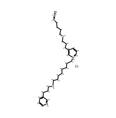 [Cl-].[N-]=[N+]=NCCCCOCCCc1ccc[n+](CCCCCCCCOCCCc2cccnc2)c1